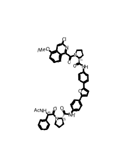 COc1cccc2c(C(=O)N3CCC[C@H]3C(=O)Nc3ccc(-c4ccc(-c5ccc(NC(=O)[C@@H]6CCCN6C(=O)[C@H](NC(C)=O)c6ccccc6)cc5)o4)cc3)nc(Cl)cc12